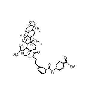 C=C(C)[C@@H]1CC[C@]2(C(=O)NCCc3cccc(C(=O)NC4CCC(C(=O)O)CC4)c3)CC[C@]3(C)C(CCC4[C@@]5(C)CC[C@H](O)C(C)(C)C5CC[C@]43C)C12